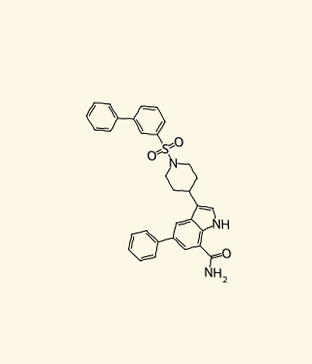 NC(=O)c1cc(-c2ccccc2)cc2c(C3CCN(S(=O)(=O)c4cccc(-c5ccccc5)c4)CC3)c[nH]c12